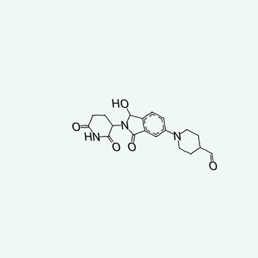 O=CC1CCN(c2ccc3c(c2)C(=O)N(C2CCC(=O)NC2=O)C3O)CC1